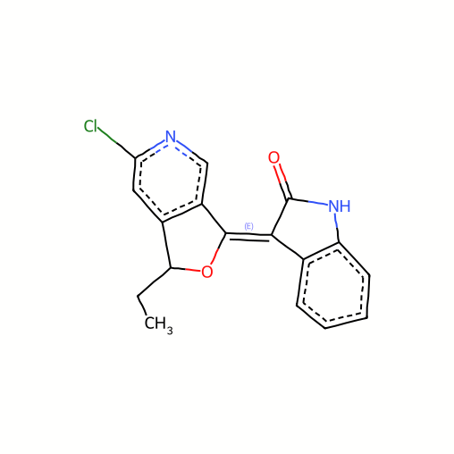 CCC1O/C(=C2/C(=O)Nc3ccccc32)c2cnc(Cl)cc21